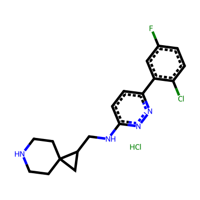 Cl.Fc1ccc(Cl)c(-c2ccc(NCC3CC34CCNCC4)nn2)c1